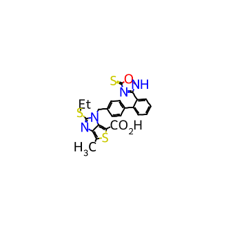 CCSc1nc2c(C)sc(C(=O)O)c2n1Cc1ccc(-c2ccccc2-c2nc(=S)o[nH]2)cc1